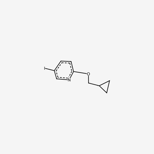 Ic1ccc(OC[C]2CC2)nc1